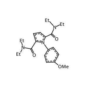 CCN(CC)C(=O)c1ccc(C(=O)N(CC)CC)n1-c1ccc(OC)cc1